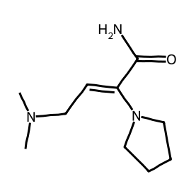 CN(C)C/C=C(/C(N)=O)N1CCCC1